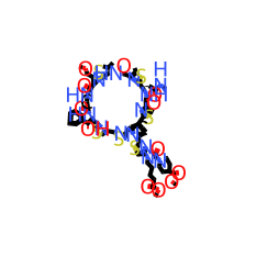 CNC(=O)C[C@@H]1NC(=O)c2csc(n2)-c2ccc(-c3nc(N(CCCCC(=O)OC)C(=O)N4CCC(C(=O)OC)CC4)cs3)nc2-c2csc(n2)-c2csc(n2)[C@H]([C@@H](O)c2ccccc2)NC(=O)CNC(=O)c2nc(sc2COC)[C@H](C(C)C)NC(=O)c2nc1sc2C